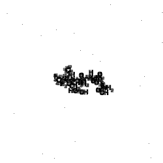 CC(C)(C)[C@@H](NCC[C@H](N)C(=O)NCCNC(=O)CN1C(=O)CC(SC[C@H](N)C(=O)O)C1=O)c1nn(-c2cc(F)ccc2F)cc1Cc1ccccc1.OCCO